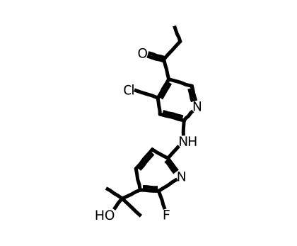 CCC(=O)c1cnc(Nc2ccc(C(C)(C)O)c(F)n2)cc1Cl